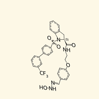 O=C(NCCOc1ccc(C=NNO)cc1)[C@@H]1Cc2ccccc2N1S(=O)(=O)c1ccc(-c2cccc(C(F)(F)F)c2)cc1